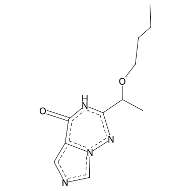 CCCCOC(C)c1nn2cncc2c(=O)[nH]1